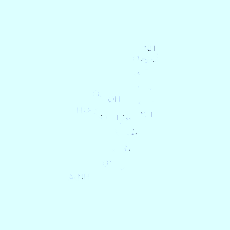 CC(=O)NCc1ccc(-c2csc(/N=C(\N)NCCc3ccc(S(N)(=O)=O)cc3)n2)o1.O=C(O)C(=O)O